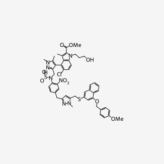 COC(=O)c1c(C)c2c(-c3c(CN(c4ccc(Cc5cc(CSc6cc(OCc7ccc(OC)cc7)c7ccccc7c6)n(C)n5)cc4[N+](=O)[O-])[SH](=O)=O)nn(C)c3C)c(Cl)ccc2n1CCCO